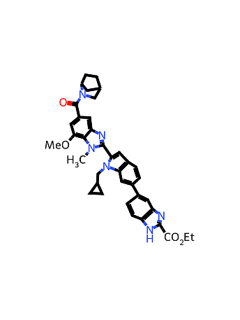 CCOC(=O)c1nc2cc(-c3ccc4cc(-c5nc6cc(C(=O)N7CC8CCC7C8)cc(OC)c6n5C)n(CC5CC5)c4c3)ccc2[nH]1